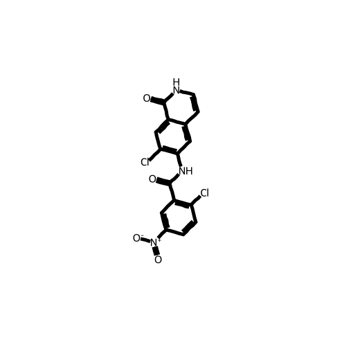 O=C(Nc1cc2cc[nH]c(=O)c2cc1Cl)c1cc([N+](=O)[O-])ccc1Cl